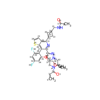 C=CC(=O)N1Cc2cc(-c3nc(C45CC(CNC(C)=O)(C4)C5)c4ccsc4c3-c3c(F)cc(F)cc3OCCOC)nn2CC1C